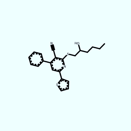 CCCCC(O)CSc1nc(-c2cccs2)cc(-c2ccccc2)c1C#N